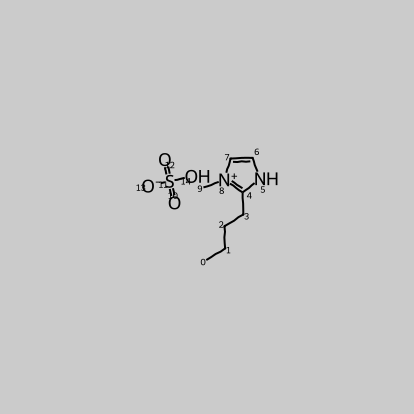 CCCCc1[nH]cc[n+]1C.O=S(=O)([O-])O